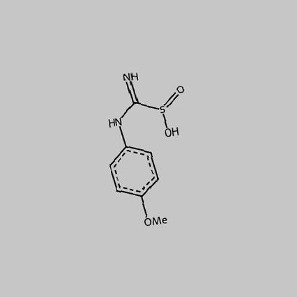 COc1ccc(NC(=N)S(=O)O)cc1